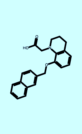 O=C(O)CN1CCCc2cccc(OCc3ccc4ccccc4c3)c21